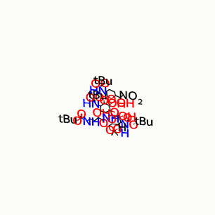 CC(C)(C)OC(=O)NCC[C@H](O)C(=O)N[C@@H]1C[C@@H](NC(=O)OC(C)(C)C)C(O[C@H]2OC(C(O)[N+](=O)[O-])CCC2NC(=O)OC(C)(C)C)C(O)[C@H]1O[C@H]1OC2COC(C)(C)O[C@H]2[C@H](NC(=O)OC(C)(C)C)C1O